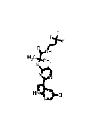 CC(C)(Nc1ccnc(-c2c[nH]c3ncc(Cl)cc23)n1)C(=O)NCCC(F)(F)F